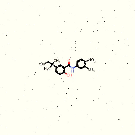 Cc1cc(NC(=O)c2cc(C(C)(C)CC(C)(C)C)ccc2O)ccc1[N+](=O)[O-]